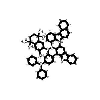 Cc1cc2c(cc1N1B3c4c(cc5c(oc6ccccc65)c4-c4ccc(N(c5ccccc5)c5ccccc5)cc41)-n1c4ccc5ccccc5c4c4cccc3c41)C(C)(C)CCC2(C)C